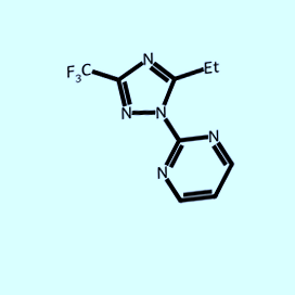 CCc1nc(C(F)(F)F)nn1-c1ncccn1